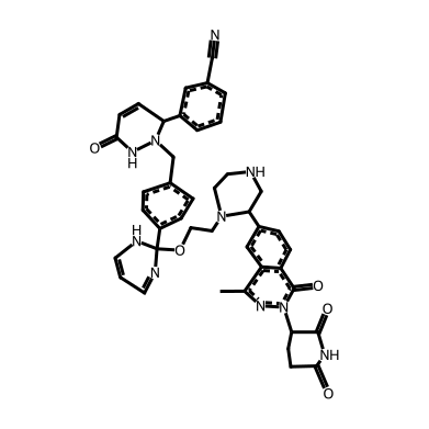 Cc1nn(C2CCC(=O)NC2=O)c(=O)c2ccc(C3CNCCN3CCOC3(c4ccc(CN5NC(=O)C=CC5c5cccc(C#N)c5)cc4)N=CC=CN3)cc12